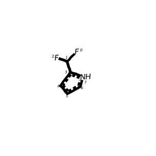 FC(F)c1ccc[nH]1